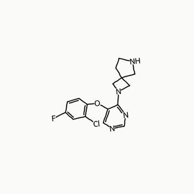 Fc1ccc(Oc2cncnc2N2CC3(CCNC3)C2)c(Cl)c1